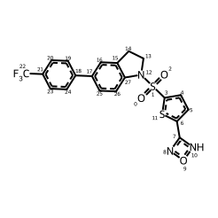 O=S(=O)(c1ccc(-c2no[nH]2)s1)N1CCc2cc(-c3ccc(C(F)(F)F)cc3)ccc21